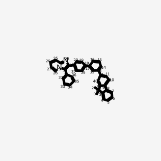 CC1(C)c2ccccc2-c2ccc(-c3cccc(-c4ccc(-c5nc6ccccn6c5-c5ccccc5)cc4)c3)cc21